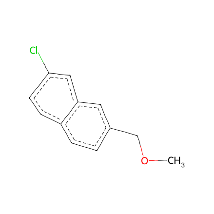 COCc1ccc2ccc(Cl)cc2c1